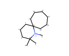 CN1C(C)(C)CCCC12CCCCCC2